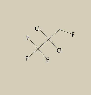 FCC(Cl)(Cl)C(F)(F)F